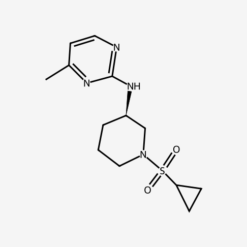 Cc1ccnc(N[C@@H]2CCCN(S(=O)(=O)C3CC3)C2)n1